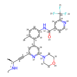 CN[C@@H](C)C#Cc1cc(-c2cc(NC(=O)c3ccnc(C(F)(F)F)c3)ccc2C)cc(N2CCOCC2)n1